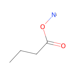 CCCC(=O)O[N]